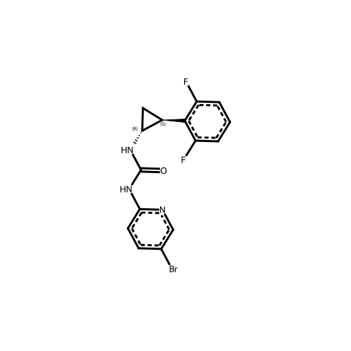 O=C(Nc1ccc(Br)cn1)N[C@@H]1C[C@H]1c1c(F)cccc1F